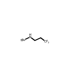 CC(C)(C)NCCC(F)(F)F